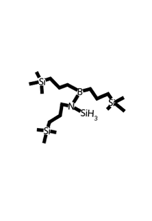 C[Si](C)(C)CCCB(CCC[Si](C)(C)C)N([SiH3])CCC[Si](C)(C)C